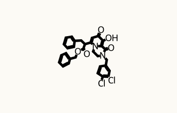 O=C(OCc1ccccc1)C(Cc1ccccc1)c1cc(=O)c(O)c2n1CCN(Cc1ccc(Cl)c(Cl)c1)C2=O